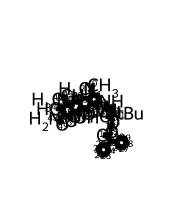 CN(C)c1cc(NC(=O)CN(C(=O)OCOC(=O)C(c2ccccc2)c2ccccc2)C(C)(C)C)c(O)c2c1C[C@H]1C[C@H]3[C@H](N(C)C)C(O)=C(C(N)=O)C(=O)[C@@]3(O)C(O)=C1C2=O